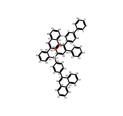 c1ccc(-c2ccc(-c3ccc(N(c4ccc(-c5cc6ccccc6c6ccccc56)cc4)c4ccccc4-c4ccc5ccccc5c4)cc3-c3ccccc3)cc2)cc1